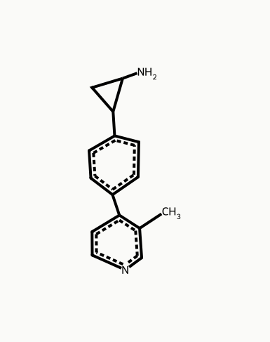 Cc1cnccc1-c1ccc(C2CC2N)cc1